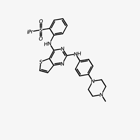 CC(C)S(=O)(=O)c1ccccc1Nc1nc(Nc2ccc(N3CCN(C)CC3)cc2)nc2ccsc12